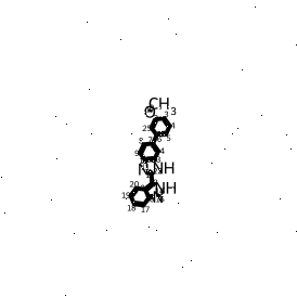 COc1cccc(-c2ccc3nc(-c4[nH]nc5ccccc45)[nH]c3c2)c1